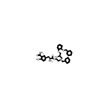 NC(=O)c1cc(C[C@H](N)C(=O)OCCN(Cc2ccccc2)CC(O)COc2ccccc2OCc2ccccc2)ccc1O